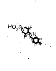 O=C(O)N1CC(F)C(NCc2ccc(F)cc2)C(F)C1